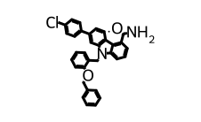 NC(=O)c1cccc2c1c1[c]cc(-c3ccc(Cl)cc3)cc1n2Cc1ccccc1OCc1ccccc1